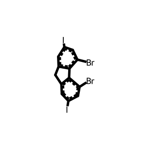 Brc1cc(I)cc2c1-c1c(Br)cc(I)cc1C2